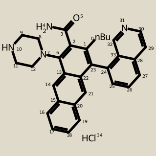 CCCCc1c(C(N)=O)c(N2CCNCC2)c2cc3ccccc3cc2c1-c1cccc2ccncc12.Cl